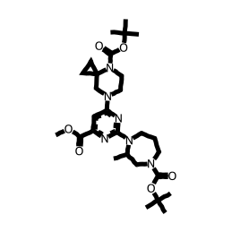 COC(=O)c1cc(N2CCN(C(=O)OC(C)(C)C)C3(CC3)C2)nc(N2CCCN(C(=O)OC(C)(C)C)CC2C)n1